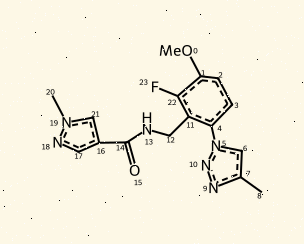 COc1ccc(-n2cc(C)nn2)c(CNC(=O)c2cnn(C)c2)c1F